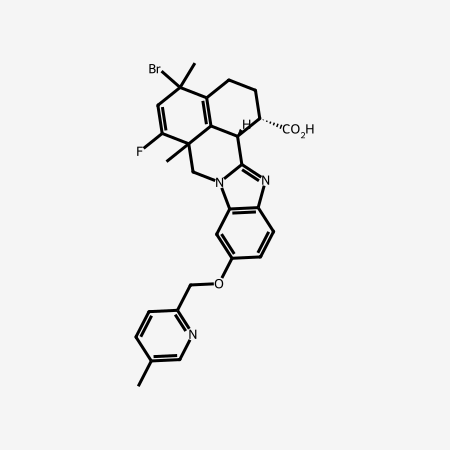 Cc1ccc(COc2ccc3nc4n(c3c2)CC2(C)C(F)=CC(C)(Br)C3=C2[C@@H]4[C@@H](C(=O)O)CC3)nc1